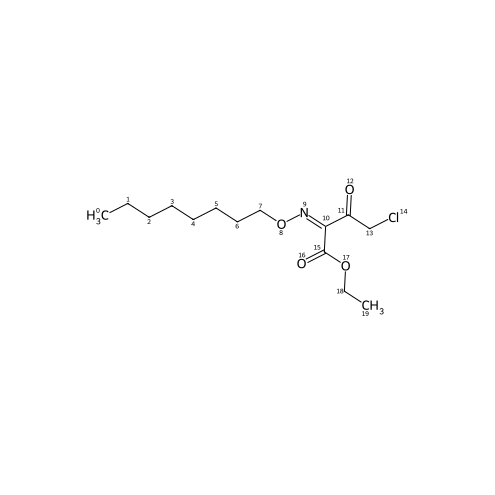 CCCCCCCCON=C(C(=O)CCl)C(=O)OCC